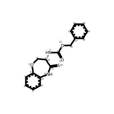 O=C(N[C@H]1COc2ccccc2NC1=S)OCc1ccccc1